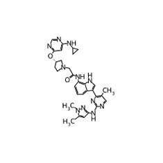 Cc1cnc(Nc2cc(C)n(C)n2)nc1-c1c[nH]c2c(NC(=O)CN3CC[C@H](Oc4cc(NC5CC5)ncn4)C3)cccc12